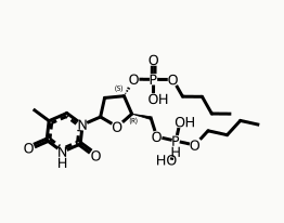 CCCCOP(=O)(O)O[C@H]1CC(n2cc(C)c(=O)[nH]c2=O)O[C@@H]1CO[PH](O)(O)OCCCC